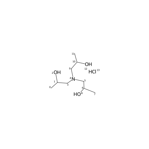 CC(O)CN(CC(C)O)CC(C)O.Cl